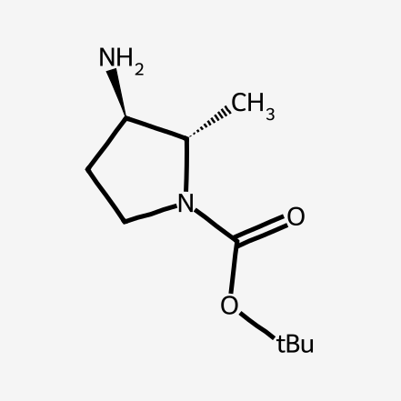 C[C@H]1[C@H](N)CCN1C(=O)OC(C)(C)C